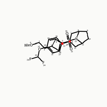 COCCC1CN(C2CC3CCC(C2)N3S(=O)(=O)c2ccc(OC(F)F)cc2)C1